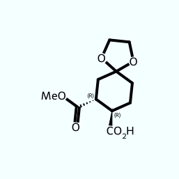 COC(=O)[C@@H]1CC2(CC[C@H]1C(=O)O)OCCO2